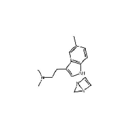 Cc1ccc2[nH]cc(CCN(C)C)c2c1.c1cn2n1C2